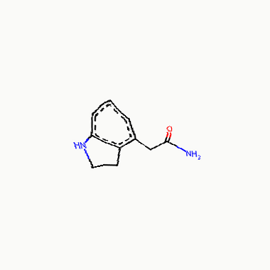 NC(=O)Cc1cccc2c1CCN2